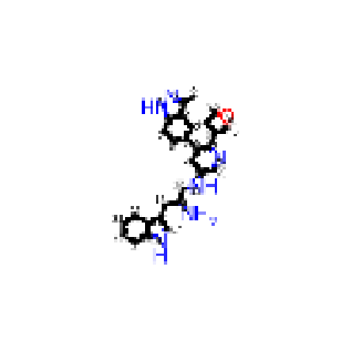 Cc1n[nH]c2ccc(-c3cc(NC[C@H](N)Cc4c[nH]c5ccccc45)cnc3-c3ccoc3)cc12